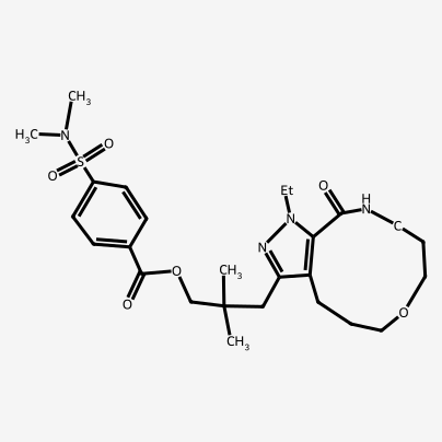 CCn1nc(CC(C)(C)COC(=O)c2ccc(S(=O)(=O)N(C)C)cc2)c2c1C(=O)NCCCOCCC2